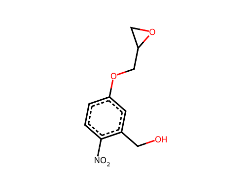 O=[N+]([O-])c1ccc(OCC2CO2)cc1CO